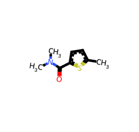 Cc1ccc(C(=O)N(C)C)s1